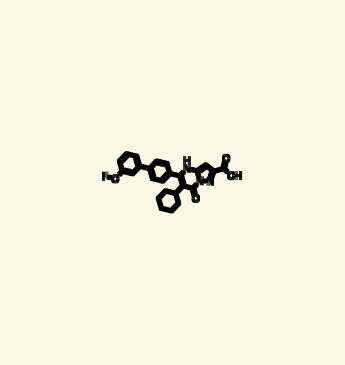 O=C(O)c1cc2[nH]c(-c3ccc(-c4cccc(OF)c4)cc3)c(C3CCCCC3)c(=O)n2n1